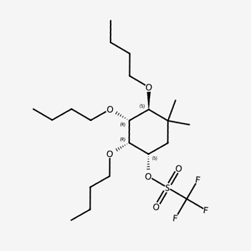 CCCCO[C@@H]1[C@H](OCCCC)[C@@H](OCCCC)C(C)(C)C[C@@H]1OS(=O)(=O)C(F)(F)F